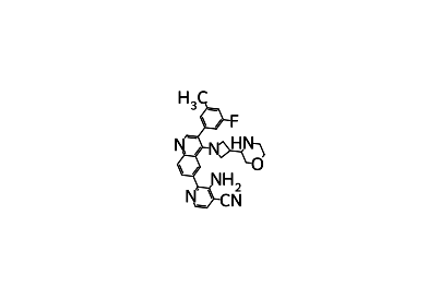 Cc1cc(F)cc(-c2cnc3ccc(-c4nccc(C#N)c4N)cc3c2N2CC(C3COCCN3)C2)c1